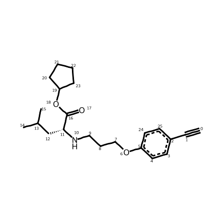 C#Cc1ccc(OCCCN[C@H](CC(C)C)C(=O)OC2CCCC2)cc1